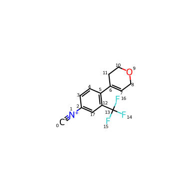 [C-]#[N+]c1ccc(C2=CCOCC2)c(C(F)(F)F)c1